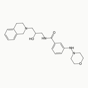 O=C(NCC(O)CN1CCc2ccccc2C1)c1cccc(NN2CCOCC2)c1